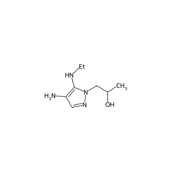 CCNc1c(N)cnn1CC(C)O